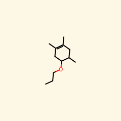 CCCOC1CC(C)=C(C)CC1C